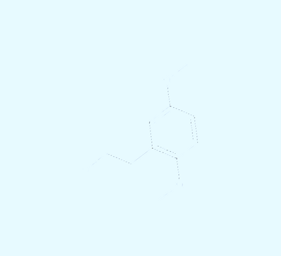 COc1ccc(OC)c([CH]CO)c1